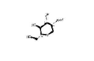 CC(=O)N[C@@H]1CO[C@H](CO)C(O)[C@@H]1O